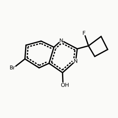 Oc1nc(C2(F)CCC2)nc2ccc(Br)cc12